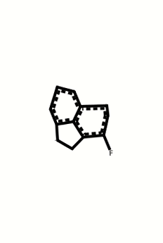 Fc1ccc2cccc3c2c1C[CH]3